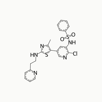 Cc1nc(NCCc2ccccn2)sc1-c1cnc(Cl)c(NS(=O)(=O)c2ccccc2)c1